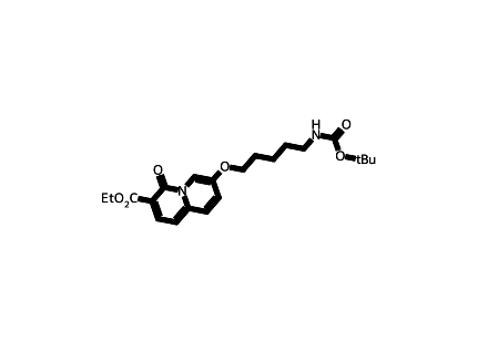 CCOC(=O)c1ccc2ccc(OCCCCCNC(=O)OC(C)(C)C)cn2c1=O